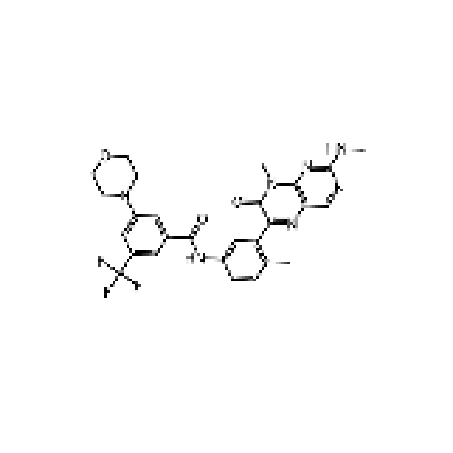 CNc1ncc2nc(-c3cc(NC(=O)c4cc(N5CCOCC5)cc(C(F)(F)F)c4)ccc3C)c(=O)n(C)c2n1